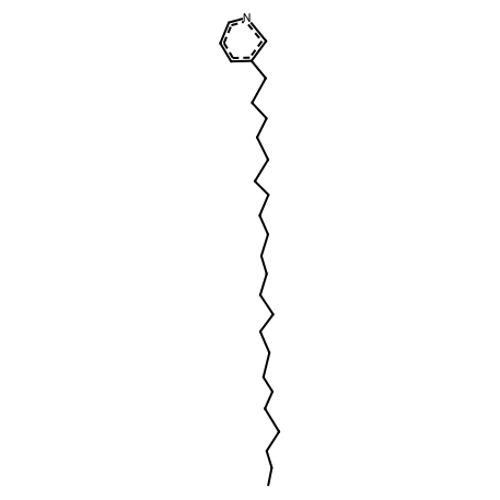 CCCCCCCCCCCCCCCCCCCCCCc1cccnc1